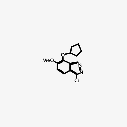 COc1ccc2c(Cl)nncc2c1OC1CCCC1